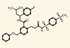 CC(C)CC(NC(=O)c1cc(COc2ccccc2)ccc1CCC(=O)NS(=O)(=O)c1ccc(S(C)(=O)=O)cc1)c1ccc(F)cc1